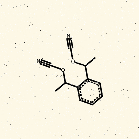 CC(OC#N)c1ccccc1C(C)OC#N